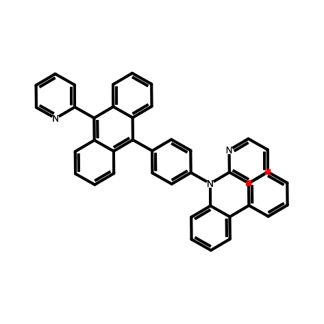 c1ccc(-c2ccccc2N(c2ccc(-c3c4ccccc4c(-c4ccccn4)c4ccccc34)cc2)c2ccccn2)cc1